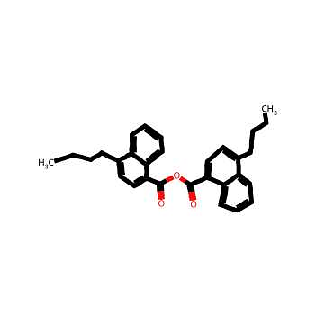 CCCCc1ccc(C(=O)OC(=O)c2ccc(CCCC)c3ccccc23)c2ccccc12